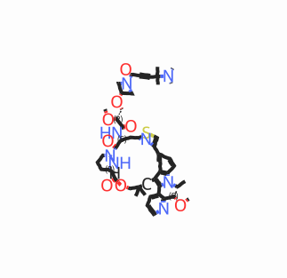 CCn1c(-c2cccnc2[C@H](C)OC)c2c3cc(ccc31)-c1csc(n1)C[C@H](NC(=O)[C@@H](COC1CN(C(=O)C#CC(C)(C)N(C)C)C1)OC)C(=O)N1CCC[C@H](N1)C(=O)OCC(C)(C)C2